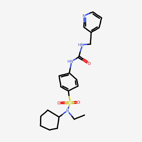 CCN(C1CCCCC1)S(=O)(=O)c1ccc(NC(=O)NCc2cccnc2)cc1